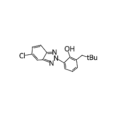 CC(C)(C)Cc1cccc(-n2nc3ccc(Cl)cc3n2)c1O